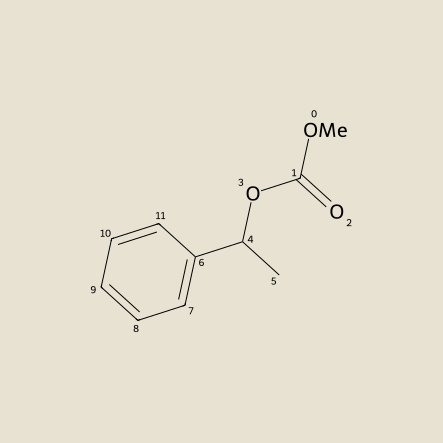 COC(=O)OC(C)c1ccccc1